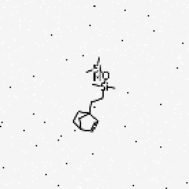 C[SiH](C)O[Si](C)(C)CCC12C=CC(CC1)C2